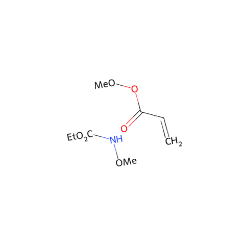 C=CC(=O)OOC.CCOC(=O)NOC